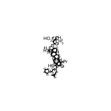 CC(C)C1=C2[C@H]3CC[C@@H]4[C@@]5(C)CC[C@H](OC(=O)CC(C)(C)C(=O)O)C(C)(C)[C@@H]5CC[C@@]4(C)[C@]3(C)CCC2(C(O)CN(CCN2CCCC2)CC2CC2)CC1=O